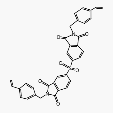 C=Cc1ccc(CN2C(=O)c3ccc(S(=O)(=O)c4ccc5c(c4)C(=O)N(Cc4ccc(C=C)cc4)C5=O)cc3C2=O)cc1